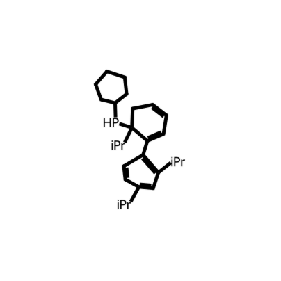 CC(C)c1ccc(C2=CC=CCC2(PC2CCCCC2)C(C)C)c(C(C)C)c1